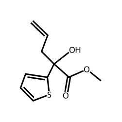 C=CCC(O)(C(=O)OC)c1cccs1